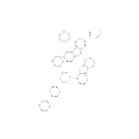 C1=CC(c2cc(-c3ccccc3)c3c4ccccc4n(-c4cccc5c4oc4c(-c6nc(-c7ccccc7)nc(-c7ccc(-c8ccccc8)cc7)n6)cccc45)c3c2)=CCC1